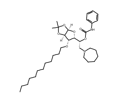 CCCCCCCCCCCCO[C@@H]1[C@H]2OC(C)(C)O[C@H]2O[C@@H]1[C@@H](CN1CCCCCC1)OC(=O)Nc1ccccc1